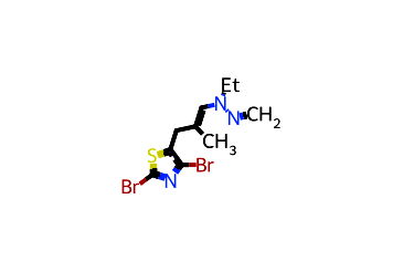 C=NN(/C=C(\C)Cc1sc(Br)nc1Br)CC